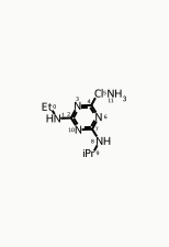 CCNc1nc(Cl)nc(NC(C)C)n1.N